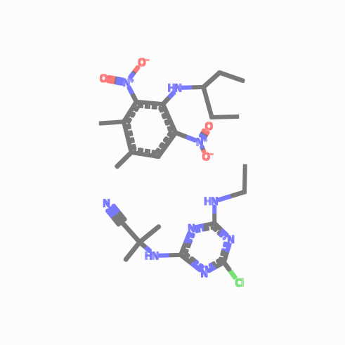 CCC(CC)Nc1c([N+](=O)[O-])cc(C)c(C)c1[N+](=O)[O-].CCNc1nc(Cl)nc(NC(C)(C)C#N)n1